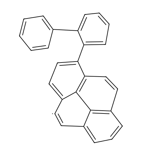 [c]1cc2cccc3ccc4c(-c5ccccc5-c5ccccc5)ccc1c4c23